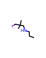 CCCNCC(C)(C)CI